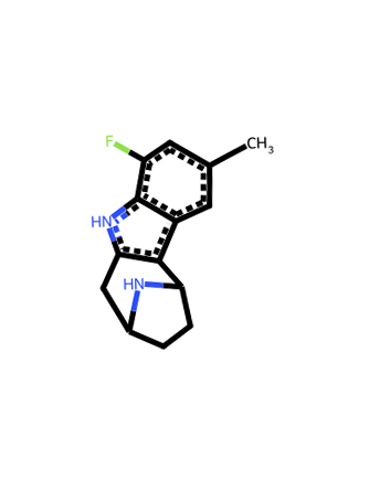 Cc1cc(F)c2[nH]c3c(c2c1)C1CCC(C3)N1